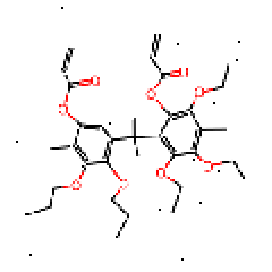 C=CC(=O)Oc1cc(C(C)(C)c2c(OCC)c(OCC)c(C)c(OCC)c2OC(=O)C=C)c(OCCC)c(OCCC)c1C